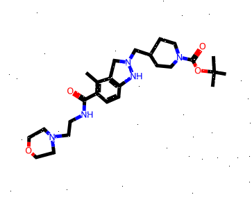 Cc1c(C(=O)NCCN2CCOCC2)ccc2c1CN(CC1CCN(C(=O)OC(C)(C)C)CC1)N2